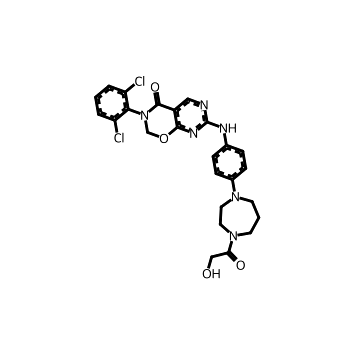 O=C(CO)N1CCCN(c2ccc(Nc3ncc4c(n3)OCN(c3c(Cl)cccc3Cl)C4=O)cc2)CC1